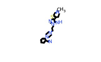 CN1CCc2c(sc3ncn(CCCN4CCN(c5ccccc5C#N)CC4)c(=N)c23)C1